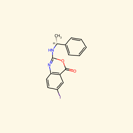 C[C@@H](Nc1nc2ccc(I)cc2c(=O)o1)c1ccccc1